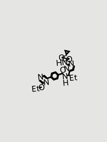 CCOc1cncc(-c2ccc(C(=O)NC(CC)c3ccnc(NS(=O)(=O)C4CC4)n3)cc2)n1